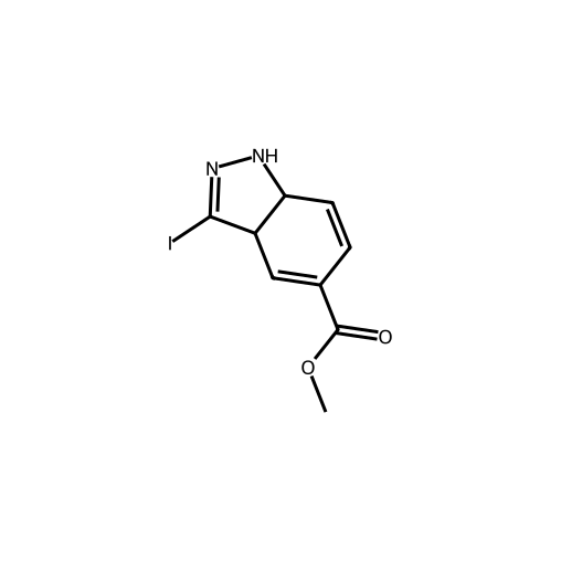 COC(=O)C1=CC2C(I)=NNC2C=C1